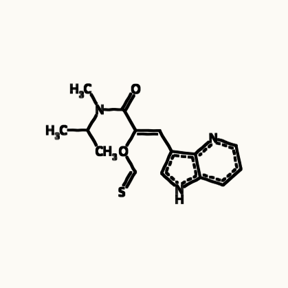 CC(C)N(C)C(=O)/C(=C/c1c[nH]c2cccnc12)OC=S